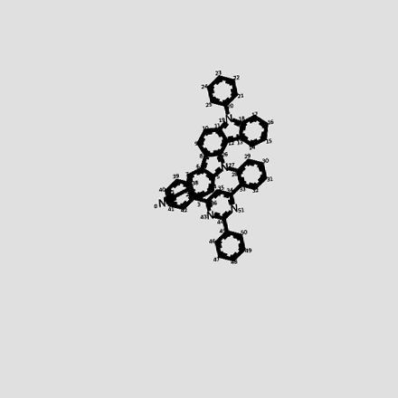 N#Cc1ccc2c(c1)c1ccc3c(c4ccccc4n3-c3ccccc3)c1n2-c1ccccc1-c1cc(-c2ccccc2)nc(-c2ccccc2)n1